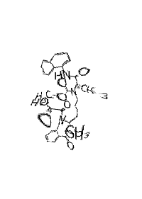 COC(=O)N(CCCC(C)N(C(=O)C(=O)O)c1ccccc1C(=O)O)[C@@H](C)C(=O)Nc1cccc2ccccc12